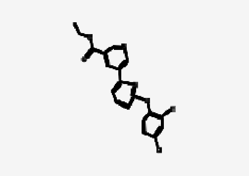 CCOC(=O)c1cncc(-c2cccc(Oc3ccc(Cl)cc3Cl)n2)c1